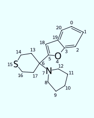 c1ccc2oc(C3(N4CCCCC4)CCSCC3)cc2c1